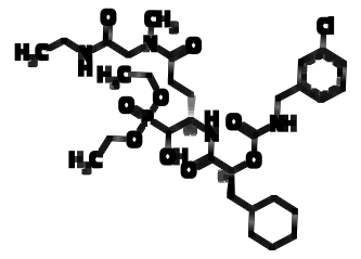 CCNC(=O)CN(C)C(=O)CC[C@H](NC(=O)[C@H](CC1CCCCC1)OC(=O)NCc1cccc(Cl)c1)C(O)P(=O)(OCC)OCC